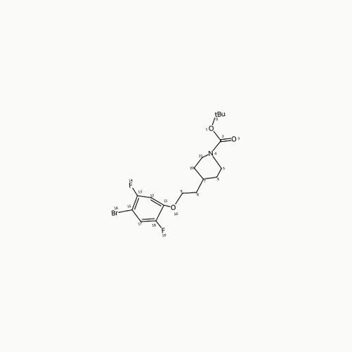 CC(C)(C)OC(=O)N1CCC(CCOc2cc(F)c(Br)cc2F)CC1